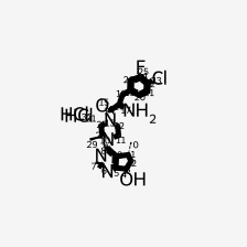 C[C@@H]1C[C@@H](O)c2ncnc(N3CCN(C(=O)C(N)Cc4ccc(Cl)c(F)c4)C[C@@H]3C)c21.Cl.Cl